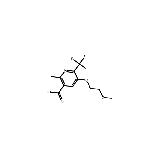 COCCOc1cc(C(=O)O)c(C)nc1C(F)(F)F